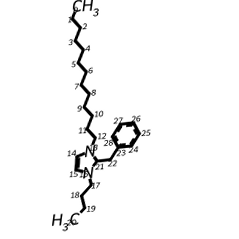 CCCCCCCCCCCCCN1C=CN(CCCC)C1Cc1ccccc1